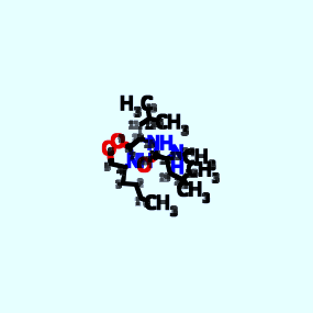 CCCC[C@@H](C=O)NC(=O)[C@H](CC(C)C)NC(=O)C(CC(C)C)NC